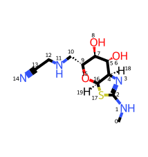 CNC1=N[C@@H]2[C@@H](O)[C@H](O)[C@@H](CNCC#N)O[C@@H]2S1